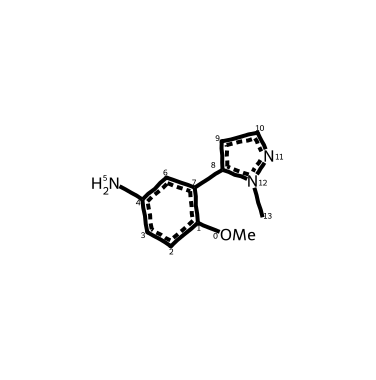 COc1ccc(N)cc1-c1ccnn1C